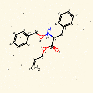 C=CCOC(=O)[C@H](Cc1ccccc1)NOCc1ccccc1